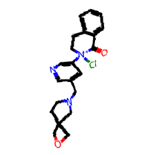 O=C1c2ccccc2CC[N+]1(Cl)c1cncc(CN2CCC3(COC3)C2)c1